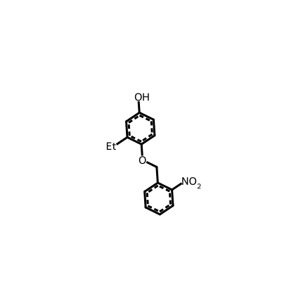 CCc1cc(O)ccc1OCc1ccccc1[N+](=O)[O-]